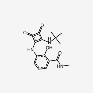 CNC(=O)c1cccc(Nc2c(NC(C)(C)C)c(=O)c2=O)c1O